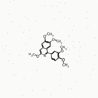 COc1cc2cc(OC)c(OC)cc2c(-c2ccc(OC)c(OC)c2)n1